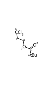 CC(C)(C)C(=O)O[CH]CC(Cl)(Cl)Cl